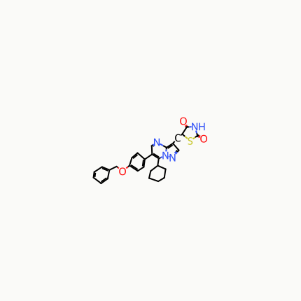 O=C1NC(=O)C(Cc2cnn3c(C4CCCCC4)c(-c4ccc(OCc5ccccc5)cc4)cnc23)S1